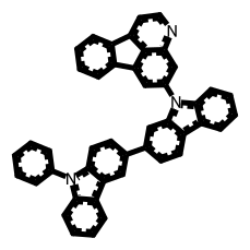 c1ccc(-n2c3ccccc3c3cc(-c4ccc5c6ccccc6n(-c6cc7c8c(ccnc8c6)-c6ccccc6-7)c5c4)ccc32)cc1